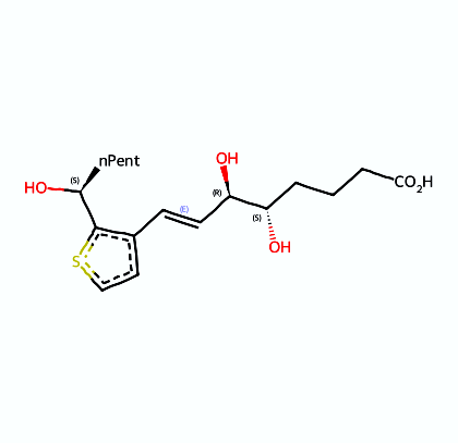 CCCCC[C@H](O)c1sccc1/C=C/[C@@H](O)[C@@H](O)CCCC(=O)O